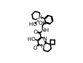 O=C(NCc1ccccc1N1CCCCS1(O)O)c1nc2n(c(=O)c1O)CCCC21CCC1